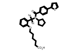 [2H]C([2H])(c1ccccc1OCCCCCC(=O)O)N(C(=O)c1ccc(-c2cccs2)cc1)C1CCCC1